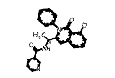 C[C@H](NC(=O)c1cccnc1)c1cc2cccc(Cl)c2c(=O)n1-c1ccccc1